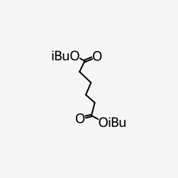 CC(C)COC(=O)CCCCC(=O)OCC(C)C